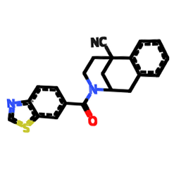 N#CC12CCN(C(=O)c3ccc4ncsc4c3)C(Cc3ccccc31)C2